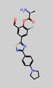 C[C@H](N)C(=O)Oc1c(F)cc(-c2nc(-c3ccc(N4CCCC4)cc3)ns2)cc1C=O